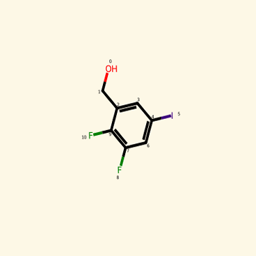 OCc1cc(I)cc(F)c1F